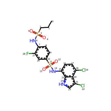 CCCS(=O)(=O)Nc1ccc(S(=O)(=O)Nc2ccc(Cl)c3c(Cl)c[nH]c23)cc1F